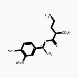 COc1ccc([C@@H](OC(=O)C(CCN)C(=O)O)[N+](=O)[O-])cc1OC